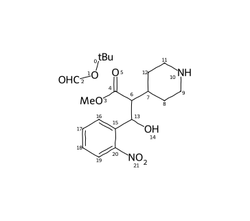 CC(C)(C)OC=O.COC(=O)C(C1CCNCC1)C(O)c1ccccc1[N+](=O)[O-]